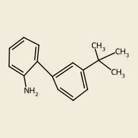 CC(C)(C)c1cccc(-c2ccccc2N)c1